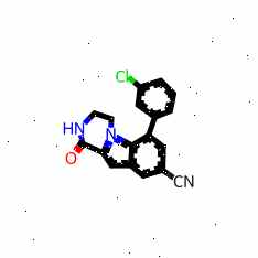 N#Cc1cc(-c2cccc(Cl)c2)c2c(c1)cc1n2CCNC1=O